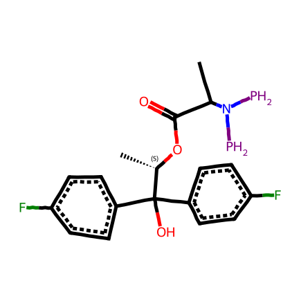 CC(C(=O)O[C@@H](C)C(O)(c1ccc(F)cc1)c1ccc(F)cc1)N(P)P